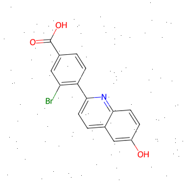 O=C(O)c1ccc(-c2ccc3cc(O)ccc3n2)c(Br)c1